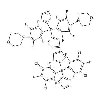 Fc1c(Cl)c(F)[c]([Ti]([C]2=CC=CC2)([C]2=CC=CC2)[c]2c(F)c(Cl)c(F)c(Cl)c2F)c(F)c1Cl.Fc1c(F)[c]([Ti]([C]2=CC=CC2)([C]2=CC=CC2)[c]2c(F)c(F)c(N3CCOCC3)c(F)c2F)c(F)c(F)c1N1CCOCC1